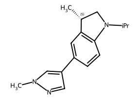 CC(C)N1C[C@@H](C)c2cc(-c3cnn(C)c3)ccc21